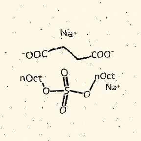 CCCCCCCCOS(=O)(=O)OCCCCCCCC.O=C([O-])CCC(=O)[O-].[Na+].[Na+]